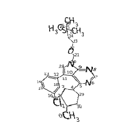 CC1CCC(c2ncnc3c2c(-c2cccc(Cl)c2)cn3COCC[Si](C)(C)C)CC1